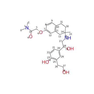 CN(C)C(=O)COc1ccc2c(c1)CC(C)(NCC(O)c1ccc(O)c(CCO)c1)CC2